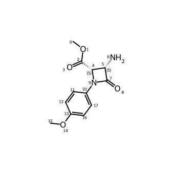 COC(=O)[C@@H]1[C@H](N)C(=O)N1c1ccc(OC)cc1